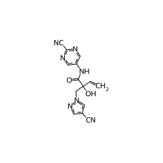 C=CC(O)(Cn1cc(C#N)cn1)C(=O)Nc1cnc(C#N)nc1